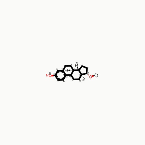 CCO[C@H]1CC[C@H]2[C@@H]3CCc4cc(O)ccc4C3CC[C@]12C